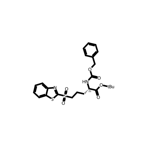 CC(C)(C)OC(=O)[C@H](CCCS(=O)(=O)c1nc2ccccc2s1)NC(=O)OCc1ccccc1